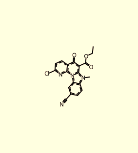 CCOC(=O)c1c(=O)c2ccc(Cl)nc2n2c3cc(C#N)ccc3n(C)c12